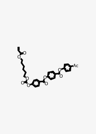 C=CC(=O)OCCCCCCOC(=O)Oc1ccc(C(=O)Oc2ccc(C(=O)Oc3ccc(C(C)=O)cc3)cc2)cc1